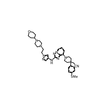 CSc1ccc(C2(CC#N)CCN(c3cccn4nc(Nc5cnn(CCN6CCN(C7CCOCC7)CC6)c5)nc34)CC2)cc1